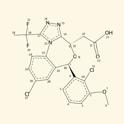 COc1cccc([C@@H]2O[C@@H](CC(=O)O)c3nnc(C(C)(F)F)n3-c3ccc(Cl)cc32)c1Cl